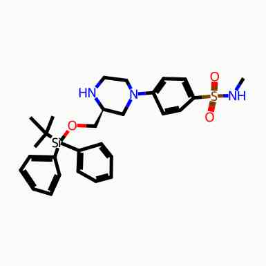 CNS(=O)(=O)c1ccc(N2CCN[C@H](CO[Si](c3ccccc3)(c3ccccc3)C(C)(C)C)C2)cc1